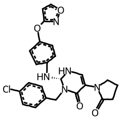 O=C1CCCN1C1=CN[C@@H](Nc2ccc(Oc3ccon3)cc2)N(Cc2ccc(Cl)cc2)C1=O